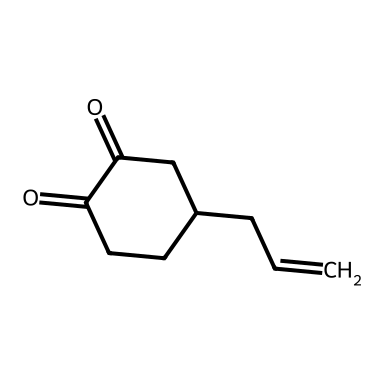 C=CCC1CCC(=O)C(=O)C1